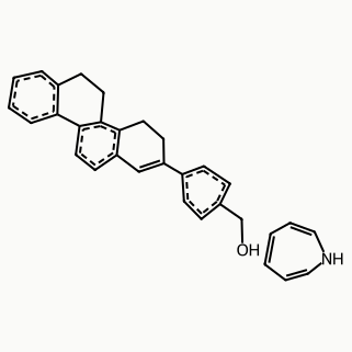 C1=CC=CNC=C1.OCc1ccc(C2=Cc3ccc4c(c3CC2)CCc2ccccc2-4)cc1